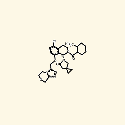 O=C(O)C1CCCCC1C(=O)N1CCc2c(Cl)ccc(OCc3nnc4n3CCOC4)c2[C@H]1N1CC2(CC2)CC1=O